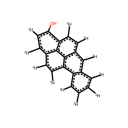 [2H]c1c([2H])c([2H])c2c(c1[2H])c([2H])c1c([2H])c([2H])c3c(O)c([2H])c([2H])c4c([2H])c([2H])c2c1c43